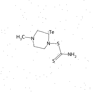 CN1CCN(SC(N)=S)CC1.[Te]